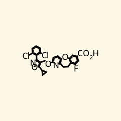 O=C(O)c1cc(F)c2c(c1)Oc1ccc(OCc3c(-c4c(Cl)cccc4Cl)noc3C3CC3)nc1CC2